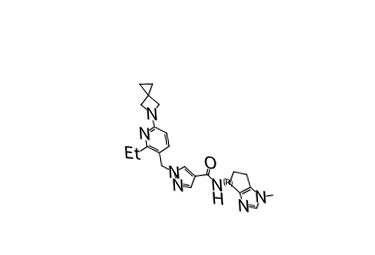 CCc1nc(N2CC3(CC3)C2)ccc1Cn1cc(C(=O)N[C@@H]2CCc3c2ncn3C)cn1